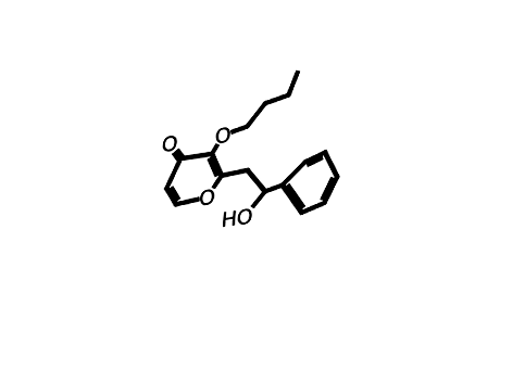 CCCCOc1c(CC(O)c2ccccc2)occc1=O